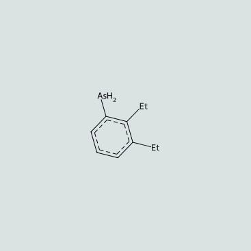 CCc1cccc([AsH2])c1CC